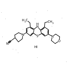 CCc1cc(N2CCOCC2)cc2c1Nc1c(CC)cc(N3CCC(C#N)CC3)cc1S2.I